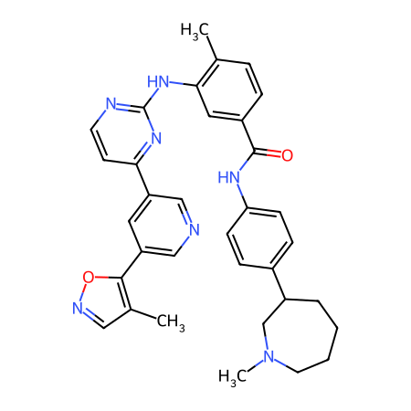 Cc1ccc(C(=O)Nc2ccc(C3CCCCN(C)C3)cc2)cc1Nc1nccc(-c2cncc(-c3oncc3C)c2)n1